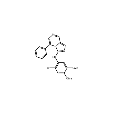 COc1cc(Br)c(Nc2nnc3cncc(-c4ccccc4)n23)cc1OC